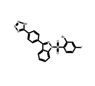 O=S(=O)(c1ccc(F)cc1Br)n1nc(-c2ccc(-c3nnn[nH]3)cc2)c2ccccc21